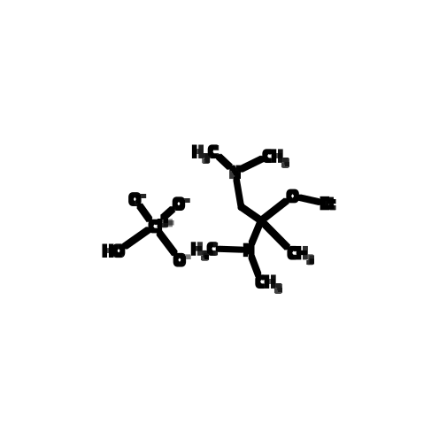 CCOC(C)(CN(C)C)N(C)C.[O-][Cl+3]([O-])([O-])O